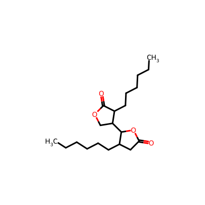 CCCCCCC1CC(=O)OC1C1COC(=O)C1CCCCCC